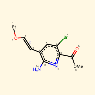 CCO/C=C/c1cc(Br)c(C(=O)OC)nc1N